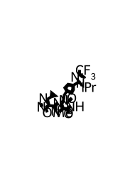 COc1ncnc(C2CC2)c1-c1ncc2c(=O)[nH]c(=O)n(Cc3ccc(-c4nc(C(F)(F)F)cn4C(C)C)cc3)c2n1